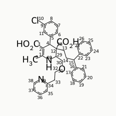 CC1=C(C(=O)O)C(c2cccc(Cl)c2)C(CCC(c2ccccc2)c2ccccc2)(C(=O)O)C(COCCc2ccccn2)N1